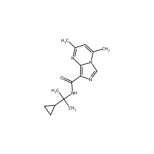 Cc1cc(C)n2cnc(C(=O)NC(C)(C)C3CC3)c2n1